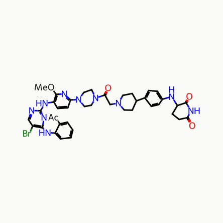 COc1nc(N2CCN(C(=O)CN3CCC(c4ccc(NC5CCC(=O)NC5=O)cc4)CC3)CC2)ccc1Nc1ncc(Br)c(Nc2ccccc2C(C)=O)n1